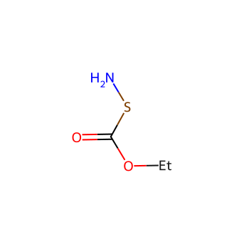 CCOC(=O)SN